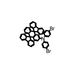 Brc1ccc(N(c2ccc(Br)cc2)c2ccc3c(c2)C2(c4ccccc4-c4ccccc42)c2ccccc2C32c3ccccc3-c3ccccc32)cc1